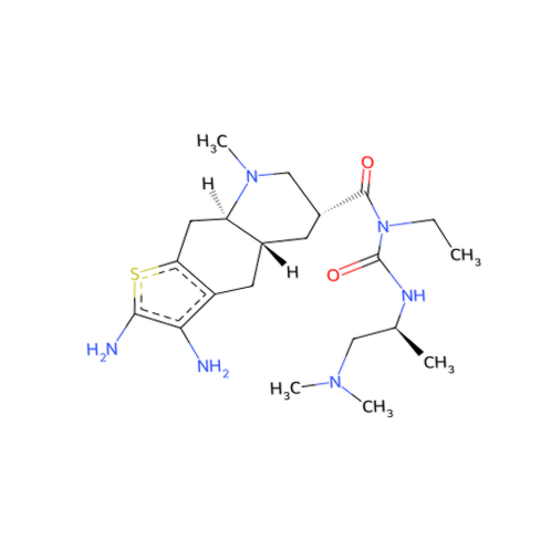 CCN(C(=O)N[C@@H](C)CN(C)C)C(=O)[C@@H]1C[C@@H]2Cc3c(sc(N)c3N)C[C@H]2N(C)C1